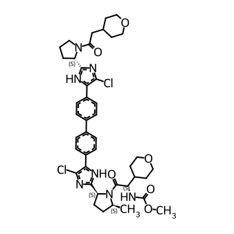 COC(=O)N[C@H](C(=O)N1[C@@H](C)CC[C@H]1c1nc(Cl)c(-c2ccc(-c3ccc(-c4[nH]c([C@@H]5CCCN5C(=O)CC5CCOCC5)nc4Cl)cc3)cc2)[nH]1)C1CCOCC1